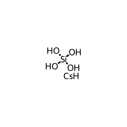 O[Si](O)(O)O.[CsH]